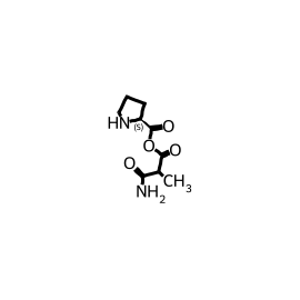 CC(C(N)=O)C(=O)OC(=O)[C@@H]1CCCN1